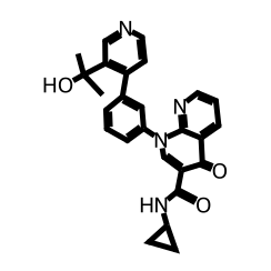 CC(C)(O)c1cnccc1-c1cccc(-n2cc(C(=O)NC3CC3)c(=O)c3cccnc32)c1